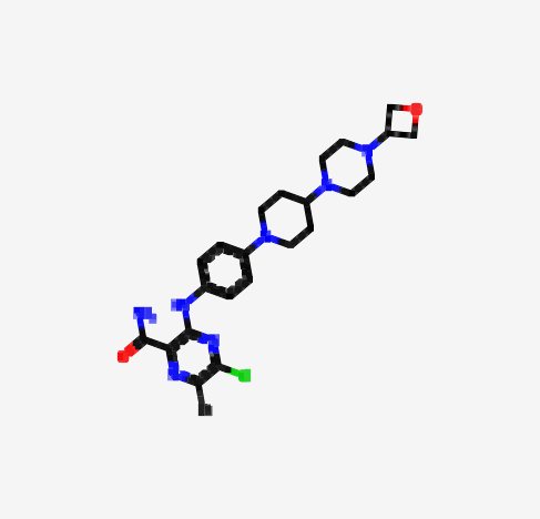 CCc1nc(C(N)=O)c(Nc2ccc(N3CCC(N4CCN(C5COC5)CC4)CC3)cc2)nc1Cl